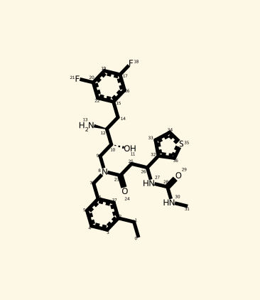 CCc1cccc(CN(C[C@@H](O)[C@@H](N)Cc2cc(F)cc(F)c2)C(=O)CC(NC(=O)NC)c2ccsc2)c1